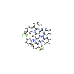 N#Cc1c(-n2c3ccccc3c3ccc(C(F)(F)F)cc32)cc(-n2c3ccccc3c3ccc(C(F)(F)F)cc32)c(C#N)c1-n1c2ccccc2c2ccccc21